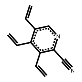 C=Cc1cnc(C#N)c(C=C)c1C=C